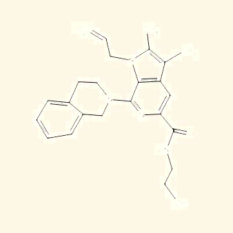 C=CCn1c(C)c(C)c2cc(C(=O)NCCO)nc(N3CCc4ccccc4C3)c21